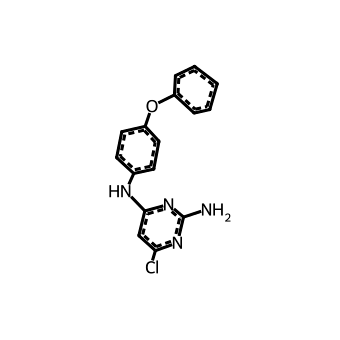 Nc1nc(Cl)cc(Nc2ccc(Oc3ccccc3)cc2)n1